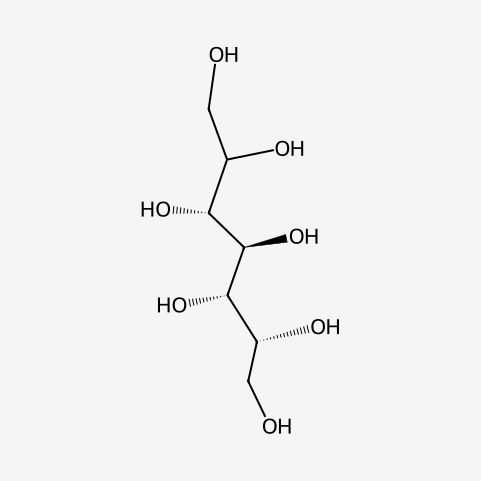 OCC(O)[C@@H](O)[C@@H](O)[C@@H](O)[C@H](O)CO